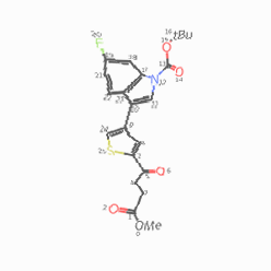 COC(=O)CCC(=O)c1cc(-c2cn(C(=O)OC(C)(C)C)c3cc(F)ccc23)cs1